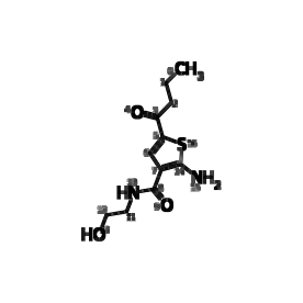 CCCC(=O)c1cc(C(=O)NCCO)c(N)s1